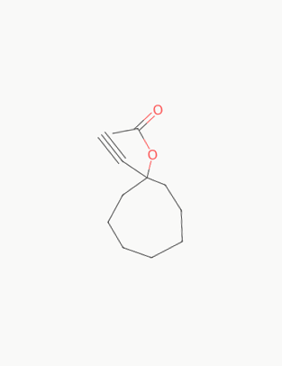 C#CC1(OC(C)=O)CCCCCCC1